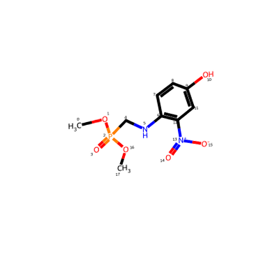 COP(=O)(CNc1ccc(O)cc1[N+](=O)[O-])OC